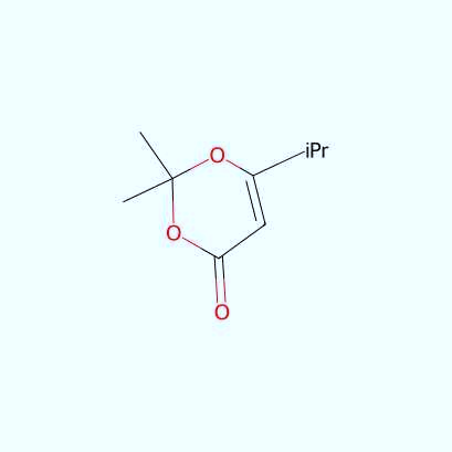 CC(C)C1=CC(=O)OC(C)(C)O1